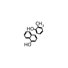 Cc1ccccc1O.Oc1cccc2ccccc12